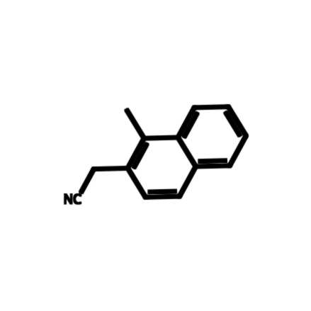 Cc1c(CC#N)ccc2ccccc12